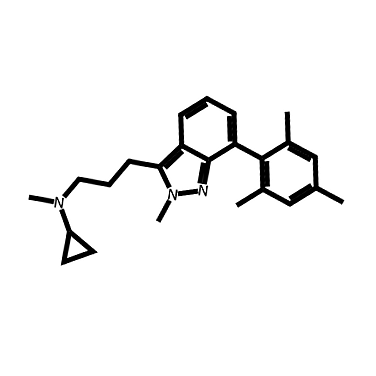 Cc1cc(C)c(-c2cccc3c(CCCN(C)C4CC4)n(C)nc23)c(C)c1